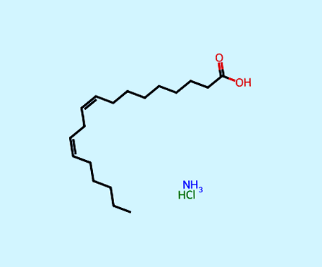 CCCCC/C=C\C/C=C\CCCCCCCC(=O)O.Cl.N